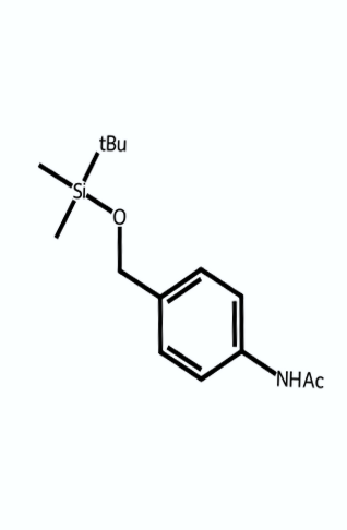 CC(=O)Nc1ccc(CO[Si](C)(C)C(C)(C)C)cc1